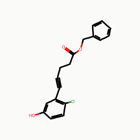 O=C(CCC#Cc1cc(O)ccc1Cl)OCc1ccccc1